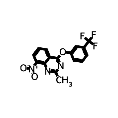 Cc1nc(Oc2cccc(C(F)(F)F)c2)c2cccc([N+](=O)[O-])c2n1